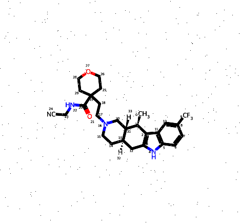 C[C@H]1c2c([nH]c3ccc(C(F)(F)F)cc23)C[C@H]2CCN(CCC3(C(=O)NCC#N)CCOCC3)C[C@@H]21